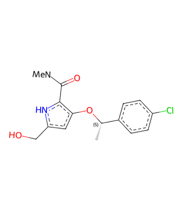 CNC(=O)c1[nH]c(CO)cc1O[C@@H](C)c1ccc(Cl)cc1